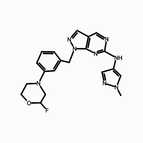 Cn1cc(Nc2ncc3cnn(Cc4cccc(N5CCOC(F)C5)c4)c3n2)cn1